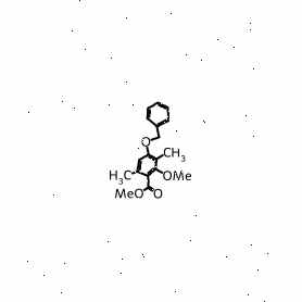 COC(=O)c1c(C)cc(OCc2ccccc2)c(C)c1OC